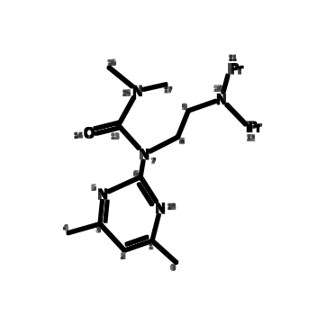 Cc1cc(C)nc(N(CCN(C(C)C)C(C)C)C(=O)N(C)C)n1